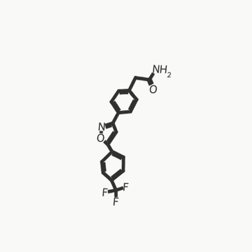 NC(=O)Cc1ccc(-c2cc(-c3ccc(C(F)(F)F)cc3)on2)cc1